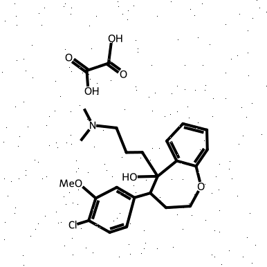 COc1cc(C2CCOc3ccccc3C2(O)CCCN(C)C)ccc1Cl.O=C(O)C(=O)O